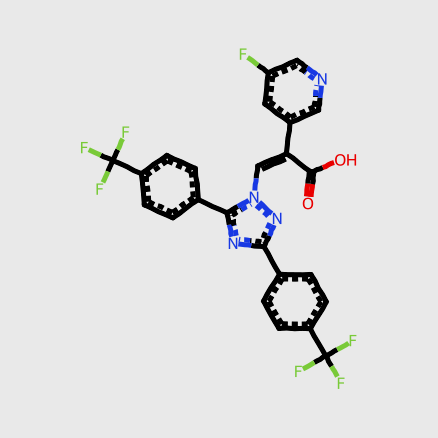 O=C(O)C(=Cn1nc(-c2ccc(C(F)(F)F)cc2)nc1-c1ccc(C(F)(F)F)cc1)c1cncc(F)c1